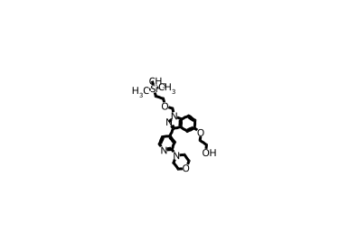 C[Si](C)(C)CCOCn1nc(-c2ccnc(N3CCOCC3)c2)c2cc(OCCO)ccc21